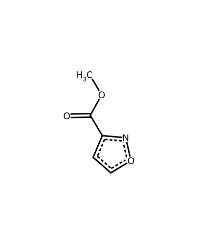 COC(=O)c1c[c]on1